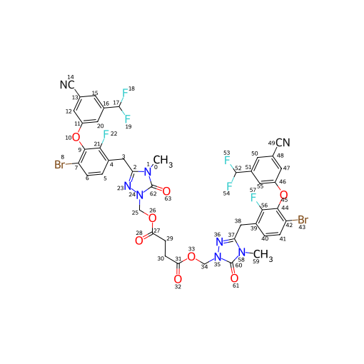 Cn1c(Cc2ccc(Br)c(Oc3cc(C#N)cc(C(F)F)c3)c2F)nn(COC(=O)CCC(=O)OCn2nc(Cc3ccc(Br)c(Oc4cc(C#N)cc(C(F)F)c4)c3F)n(C)c2=O)c1=O